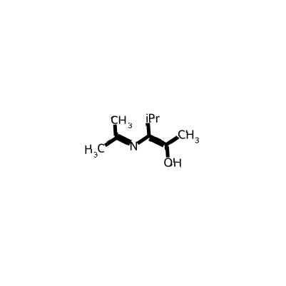 CC(C)=N/C(=C(/C)O)C(C)C